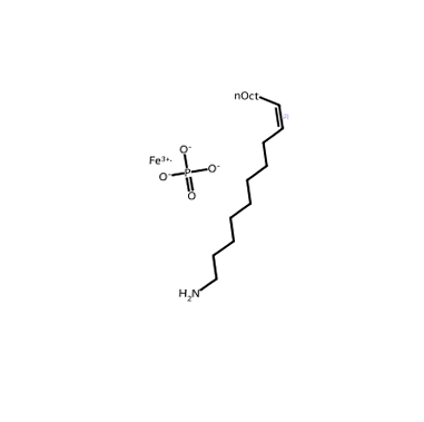 CCCCCCCC/C=C\CCCCCCCCN.O=P([O-])([O-])[O-].[Fe+3]